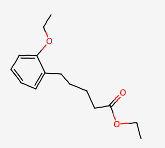 CCOC(=O)CCCCc1ccccc1OCC